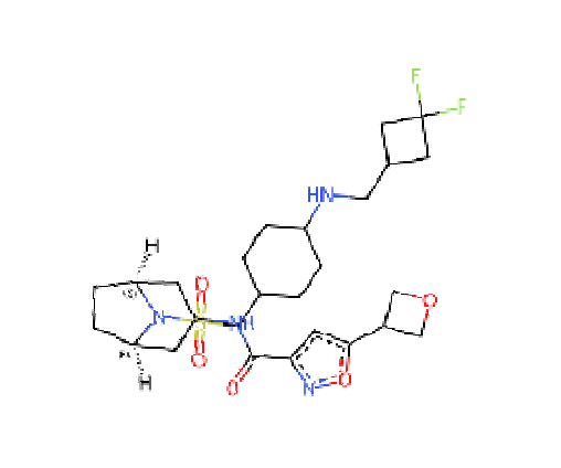 O=C(NC1C[C@H]2CC[C@@H](C1)N2S(=O)(=O)CC1CCC(NCC2CC(F)(F)C2)CC1)c1cc(C2COC2)on1